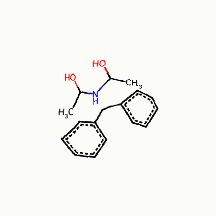 CC(O)NC(C)O.c1ccc(Cc2ccccc2)cc1